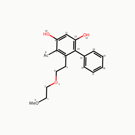 COCCOCCc1c(C(C)=O)c(O)cc(O)c1-c1ccccc1